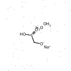 O.O.O=S(O)C[O-].[Na+]